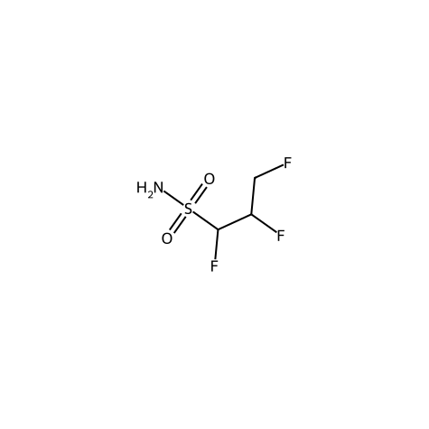 NS(=O)(=O)C(F)C(F)CF